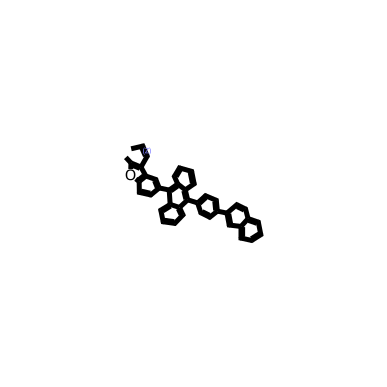 C/C=C\c1c(C)oc2ccc(-c3c4ccccc4c(-c4ccc(-c5ccc6ccccc6c5)cc4)c4ccccc34)cc12